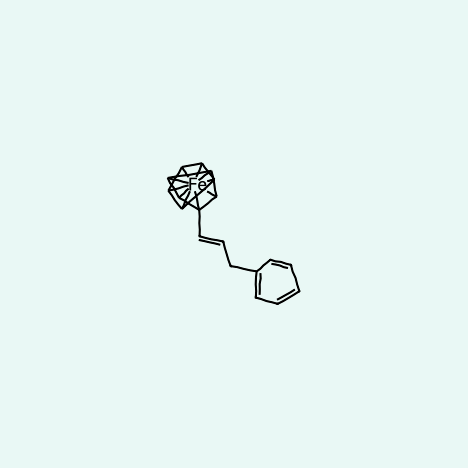 C(=C[C]12[CH]3[CH]4[CH]5[CH]1[Fe]45321678[CH]2[CH]1[CH]6[CH]7[CH]28)Cc1ccccc1